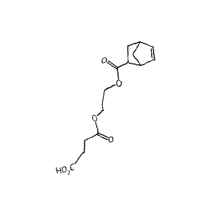 O=C(O)CCC(=O)OCCOC(=O)C1CC2C=CC1C2